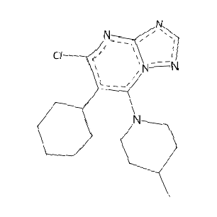 CC1CCN(c2c(C3CCCCC3)c(Cl)nc3ncnn23)CC1